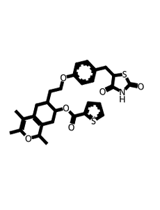 CC1=C(C)C2=C(CC(OC(=O)c3cccs3)C(CCOc3ccc(CC4SC(=O)NC4=O)cc3)C2)C(C)O1